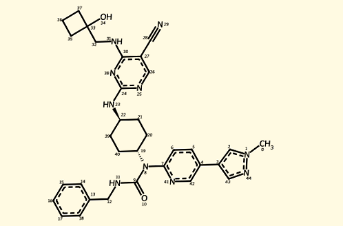 Cn1cc(-c2ccc(N(C(=O)NCc3ccccc3)[C@H]3CC[C@H](Nc4ncc(C#N)c(NCC5(O)CCC5)n4)CC3)nc2)cn1